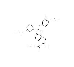 COC(=O)N1c2ccc3c(nc(C(O)c4ccc(OC)c(F)c4)n3C3CCCC(C(=O)O)C3)c2CC[C@@H]1C